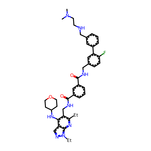 CCc1nc2c(cnn2CC)c(NC2CCOCC2)c1CNC(=O)c1cccc(C(=O)NCc2ccc(F)c(-c3cccc(CNCCN(C)C)c3)c2)c1